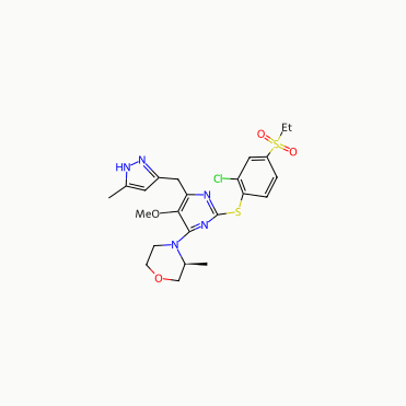 CCS(=O)(=O)c1ccc(Sc2nc(Cc3cc(C)[nH]n3)c(OC)c(N3CCOC[C@@H]3C)n2)c(Cl)c1